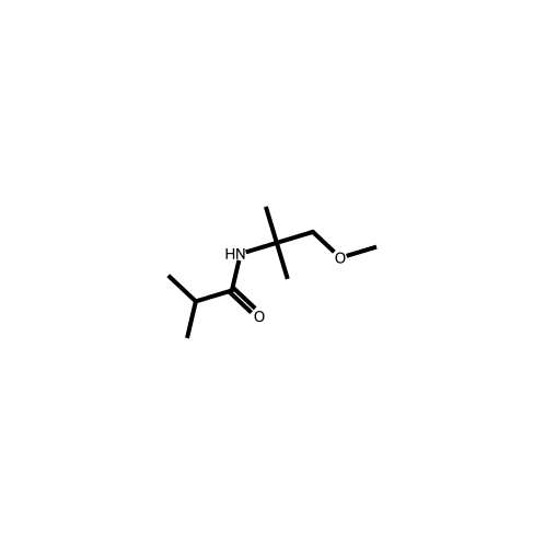 COCC(C)(C)NC(=O)C(C)C